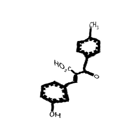 Cc1ccc(C(=O)/C(=C/c2cccc(O)c2)C(=O)O)cc1